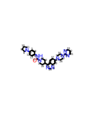 O=C(Nc1ccc(N2CCCC2)cc1)N1CCC(c2ncnc3cc(N4CCN(c5ncccn5)CC4)ccc23)CC1